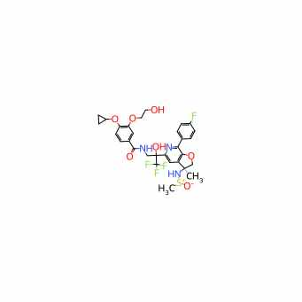 C[S+]([O-])N[C@]1(C)COc2c1cc(C(O)(CNC(=O)c1ccc(OC3CC3)c(OCCO)c1)C(F)(F)F)nc2-c1ccc(F)cc1